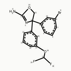 NC1=NC(c2cccc(Br)c2)(c2cccc(OC(F)F)c2)CO1